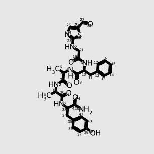 CC(NC(=O)C(C)NC(=O)C(Cc1ccccc1)NC(=O)CNc1ncc(C=O)s1)C(=O)NC(Cc1ccc(O)cc1)C(N)=O